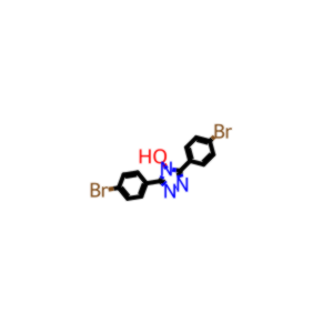 On1c(-c2ccc(Br)cc2)nnc1-c1ccc(Br)cc1